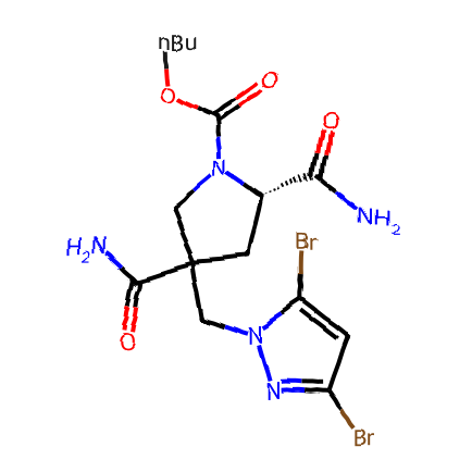 CCCCOC(=O)N1CC(Cn2nc(Br)cc2Br)(C(N)=O)C[C@H]1C(N)=O